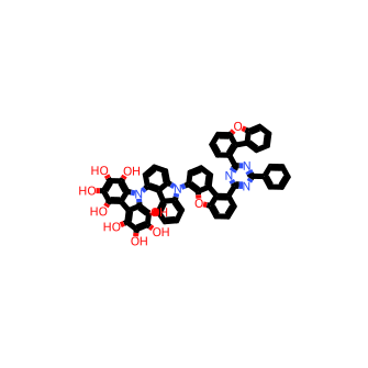 Oc1c(O)c(O)c2c(c1O)c1c(O)c(O)c(O)c(O)c1n2-c1cccc2c1c1ccccc1n2-c1cccc2c1oc1cccc(-c3nc(-c4ccccc4)nc(-c4cccc5oc6ccccc6c45)n3)c12